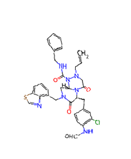 C=CCN1CC(=O)N2[C@@H](Cc3ccc(NC=O)c(Cl)c3)C(=O)N(Cc3cccc4scnc34)C[C@@H]2N1C(=O)NCc1ccccc1